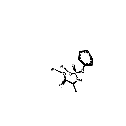 CCOP(=O)(NC(C)C(=O)OC(C)C)Oc1ccccc1